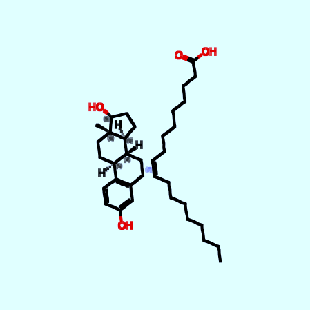 CCCCCCCC/C=C\CCCCCCCC(=O)O.C[C@]12CC[C@@H]3c4ccc(O)cc4CC[C@H]3[C@@H]1CC[C@@H]2O